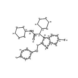 Cc1ccc(OCc2nc3cc(F)ccc3n2C(C(=O)NC2CCCCC2)C2CCCCC2)cc1